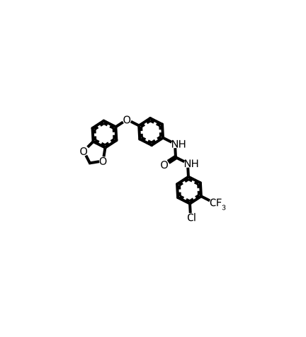 O=C(Nc1ccc(Oc2ccc3c(c2)OCO3)cc1)Nc1ccc(Cl)c(C(F)(F)F)c1